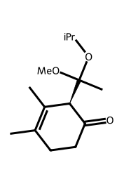 COC(C)(OC(C)C)[C@H]1C(=O)CCC(C)=C1C